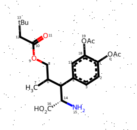 CC(=O)Oc1ccc(C(C(C)COC(=O)CC(C)(C)C)[C@H](N)C(=O)O)cc1OC(C)=O